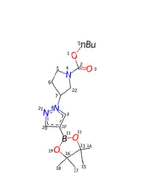 CCCCOC(=O)N1CCC(n2cc(B3OC(C)(C)C(C)(C)O3)cn2)C1